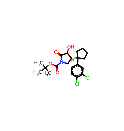 CC(C)(C)OC(=O)N1C[C@H](C2(c3ccc(Cl)c(Cl)c3)CCCC2)C(O)C1=O